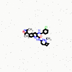 Cc1noc(C)c1-c1ccc2nc(C(=O)NC3=NN(C)C4=C(C=C3)CC4)c(NCc3cccc(Cl)c3)cc2c1